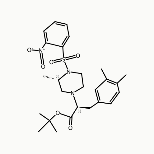 Cc1ccc(C[C@@H](C(=O)OC(C)(C)C)N2CCN(S(=O)(=O)c3ccccc3[N+](=O)[O-])[C@@H](C)C2)cc1C